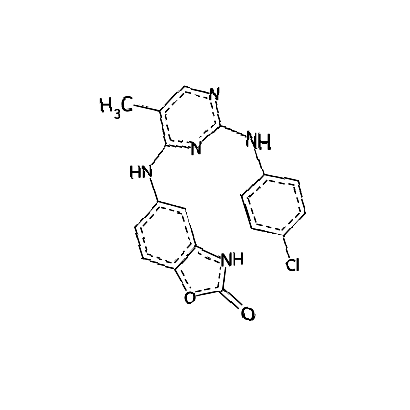 Cc1cnc(Nc2ccc(Cl)cc2)nc1Nc1ccc2oc(=O)[nH]c2c1